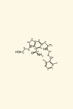 Cc1cccc(C)c1OCCN[C@H](C)Cc1cc2c(c(C(N)=O)c1)N(CCCO)CC2